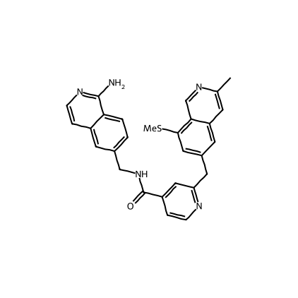 CSc1cc(Cc2cc(C(=O)NCc3ccc4c(N)nccc4c3)ccn2)cc2cc(C)ncc12